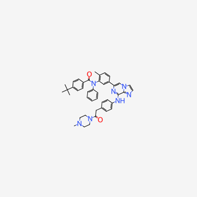 Cc1ccc(-c2cn3ccnc3c(Nc3ccc(CC(=O)N4CCN(C)CC4)cc3)n2)cc1N(C(=O)c1ccc(C(C)(C)C)cc1)c1ccccc1